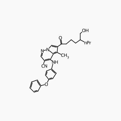 CCCC(CO)CCCC(=O)c1cn2ncc(C#N)c(Nc3ccc(Oc4ccccc4)cc3)c2c1C